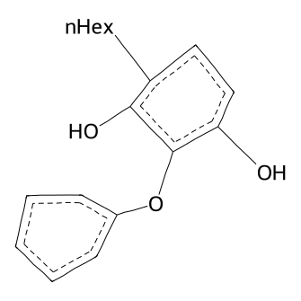 CCCCCCc1ccc(O)c(Oc2ccccc2)c1O